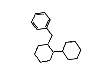 c1ccc(C[C]2CCCCC2C2CCCCC2)cc1